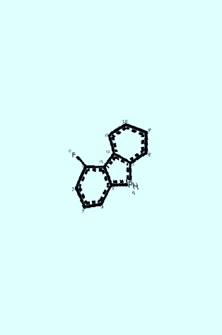 Fc1cccc2[pH]c3ccccc3c12